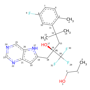 CCCO.Cc1ccc(F)cc1C(C)(C)C[C@@](O)(Cc1cc2ncncc2[nH]1)C(F)(F)F